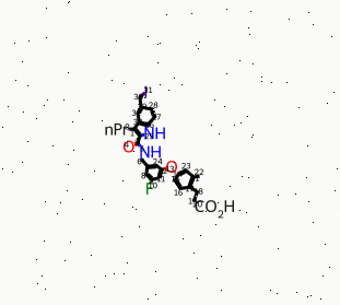 CCCc1c(C(=O)NCc2cc(F)cc(Oc3ccc(CCC(=O)O)c(C)c3)c2)[nH]c2ccc(CI)cc12